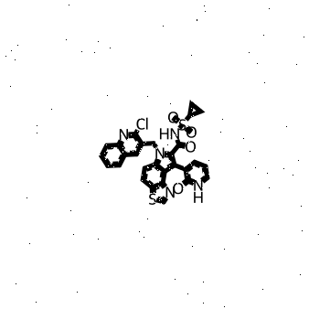 O=C(NS(=O)(=O)C1CC1)c1c(-c2ccc[nH]c2=O)c2c3ncsc3ccc2n1Cc1cc2ccccc2nc1Cl